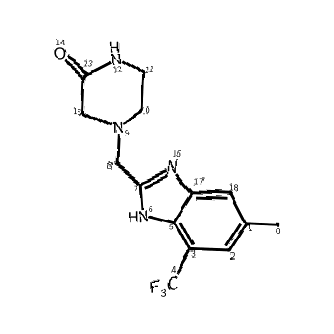 Cc1cc(C(F)(F)F)c2[nH]c(CN3CCNC(=O)C3)nc2c1